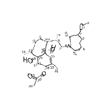 CO[C@H]1CCCN(C[C@@H](C)[C@@H]2CC[C@@H](C)[C@]3(O)[C][C@@H](OC(C)=O)C(C)=C[C@H]23)C1